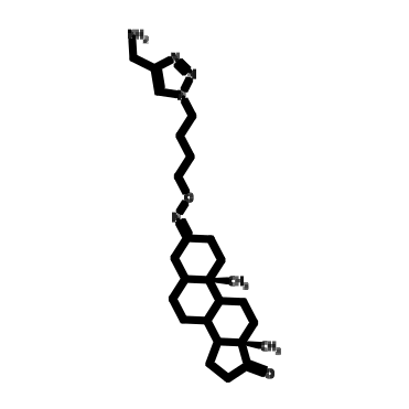 C[C@]12CCC(=NOCCCCn3cc(CN)nn3)CC1CCC1C2CC[C@]2(C)C(=O)CCC12